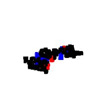 CCCC(=O)N([C@H](CC)COC)[C@@H](C)c1ncc(-c2ccc3c(c2)COc2cc4c(ccc5nc([C@H](C)N([C@@H](C)CC)C(C)(O)CCC)[nH]c54)cc2-3)[nH]1